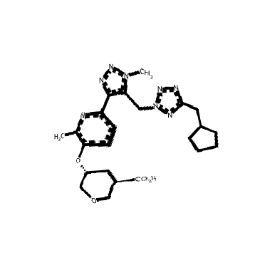 Cc1nc(-c2nnn(C)c2Cn2nnc(CC3CCCC3)n2)ccc1O[C@H]1COC[C@H](C(=O)O)C1